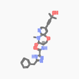 CN1C(=O)[C@@H](NC(=O)c2nnc(Cc3ccccc3)[nH]2)COc2cc(C#CC(C)(C)O)cnc21